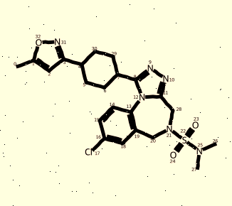 Cc1cc(C2CCC(c3nnc4n3-c3ccc(Cl)cc3CN(S(=O)(=O)N(C)C)C4)CC2)no1